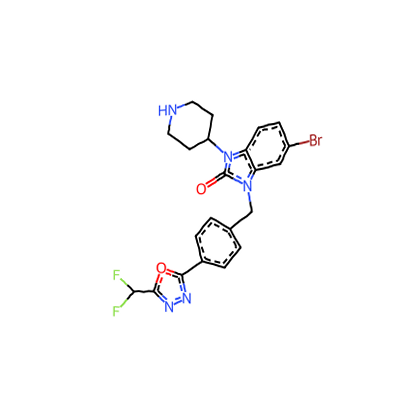 O=c1n(Cc2ccc(-c3nnc(C(F)F)o3)cc2)c2cc(Br)ccc2n1C1CCNCC1